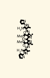 CCC(c1nn(C)c(/N=N/c2c(C)nn(-c3ccccn3)c2N)c1C(=O)OC)c1nn(C)c(/N=N/c2c(C)nn(-c3ccccn3)c2N)c1C(=O)OC